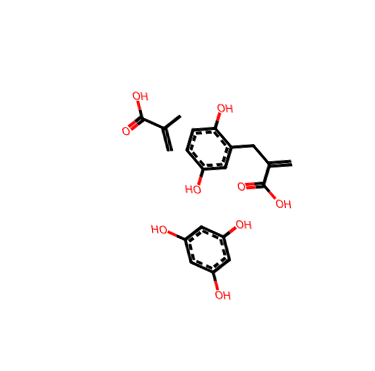 C=C(C)C(=O)O.C=C(Cc1cc(O)ccc1O)C(=O)O.Oc1cc(O)cc(O)c1